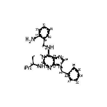 CC(C)C(C)Nc1nc(NCc2ccccc2N)c2ncn(Cc3ccccc3)c2n1